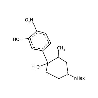 CCCCCCN1CCC(C)(c2ccc([N+](=O)[O-])c(O)c2)C(C)C1